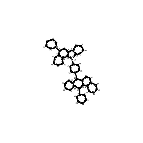 c1ccc(-c2cc3c4ccccc4n(-c4ccc(-c5c6ccccc6c(-c6ccccc6)c6c5ccc5ccccc56)cc4)c3c3ccccc23)cc1